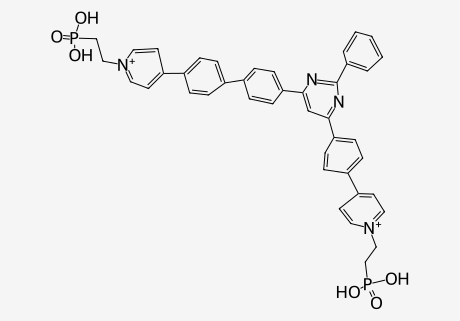 O=P(O)(O)CC[n+]1ccc(-c2ccc(-c3ccc(-c4cc(-c5ccc(-c6cc[n+](CCP(=O)(O)O)cc6)cc5)nc(-c5ccccc5)n4)cc3)cc2)cc1